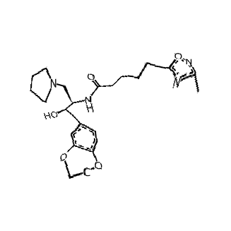 Cc1noc(CCCCC(=O)N[C@H](CN2CCCC2)[C@H](O)c2ccc3c(c2)OCCO3)n1